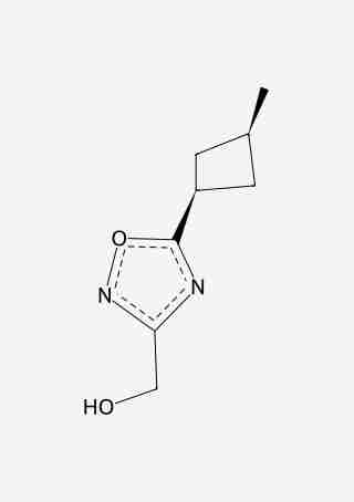 C[C@H]1C[C@@H](c2nc(CO)no2)C1